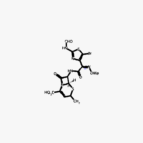 CO/N=C(\C(=O)NC1C(=O)N2C(C(=O)O)=CC(C)S[C@H]12)c1nc(NC=O)sc1Br